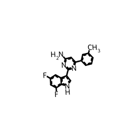 Cc1cccc(-c2cc(N)nc(-c3c[nH]c4c(F)cc(F)cc34)n2)c1